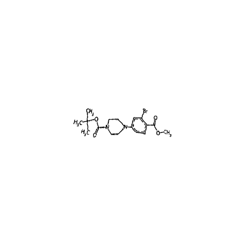 COC(=O)c1ccc(N2CCN(C(=O)OC(C)(C)C)CC2)cc1Br